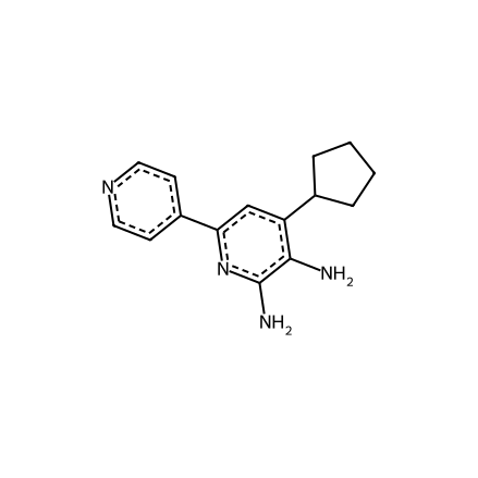 Nc1nc(-c2ccncc2)cc(C2CCCC2)c1N